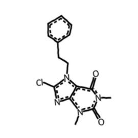 Cn1c(=O)c2c(nc(Cl)n2CCc2ccccc2)n(C)c1=O